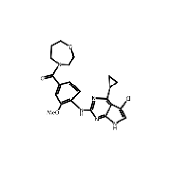 COc1cc(C(=O)N2CCCOCC2)ccc1Nc1nc(C2CC2)c2c(Cl)c[nH]c2n1